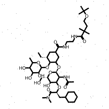 CC[C@@H]1CC(C(=O)NCCNC(=O)C(C)(C)CCOC(C)(C)C)CC(O[C@@H]2O[C@@H](CO)C(O)C(O[C@@H](CC3CCCCC3)C(=O)N(C)C)C2NC(C)=O)C1OC1OC(C)C(O)C(O)C1O